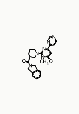 Cn1c(N2CCCC(C(=O)N3Cc4ccccc4C3)C2)nc(-c2ccncn2)cc1=O